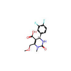 COCC1=C(C(=O)O)[C@@H](c2ccc(F)c(F)c2)NC(=O)N1C